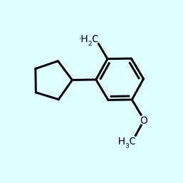 [CH2]c1ccc(OC)cc1C1CCCC1